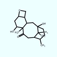 CC1[C]CC2(O)CC3C4COC4CC(O)C3(C)C(=O)CC1C2(C)C